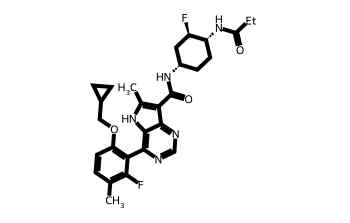 CCC(=O)N[C@@H]1CC[C@H](NC(=O)c2c(C)[nH]c3c(-c4c(OCC5CC5)ccc(C)c4F)ncnc23)C[C@H]1F